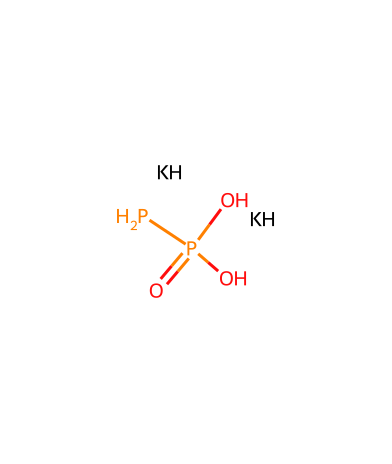 O=P(O)(O)P.[KH].[KH]